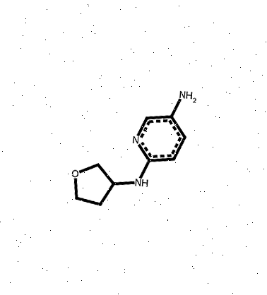 Nc1ccc(NC2CCOC2)nc1